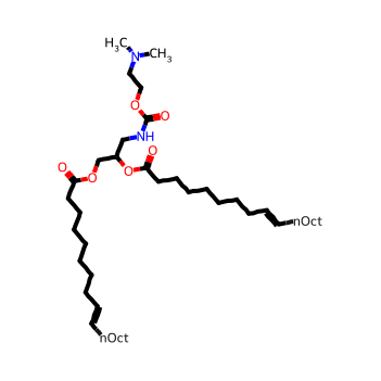 CCCCCCCCC=CCCCCCCCC(=O)OCC(CNC(=O)OCCN(C)C)OC(=O)CCCCCCCC=CCCCCCCCC